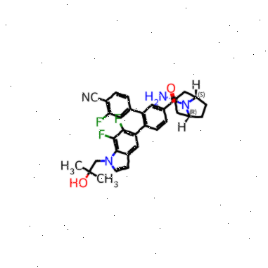 CC(C)(O)Cn1ccc2cc(-c3ccc(C(=O)N4[C@@H]5CC[C@H]4C[C@@H](N)C5)cc3-c3ccc(C#N)c(F)c3)c(F)c(F)c21